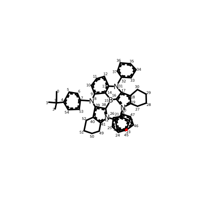 CC(C)(C)c1ccc(N2c3cccc4c3B(c3c(c5c(n3-c3ccccc3)CCCC5)N4c3ccccc3)c3c2c2c(n3-c3ccccc3)CCCC2)cc1